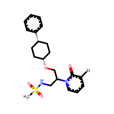 CCc1cccn(C(CNS(C)(=O)=O)CO[C@H]2CC[C@@H](c3ccccc3)CC2)c1=O